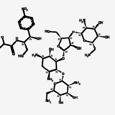 NC[C@@H]1O[C@H](O[C@H]2[C@@H](O)[C@H](O[C@@H]3[C@@H](O)[C@H](N)C[C@H](N)[C@H]3O[C@H]3O[C@H](CN)[C@@H](O)[C@H](O)[C@H]3N)O[C@@H]2CO)[C@H](N)[C@@H](O)[C@@H]1O.O=C(N[C@H](CO)[C@H](O)c1ccc([N+](=O)[O-])cc1)C(Cl)Cl